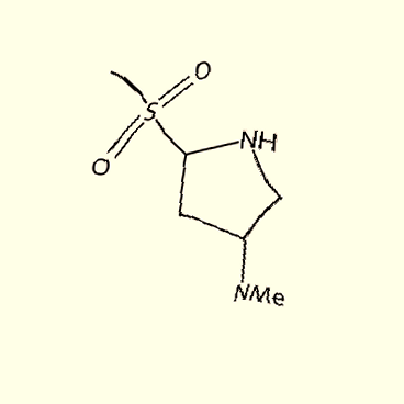 CNC1CNC(S(C)(=O)=O)C1